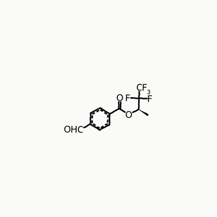 C[C@@H](OC(=O)c1ccc(C=O)cc1)C(F)(F)C(F)(F)F